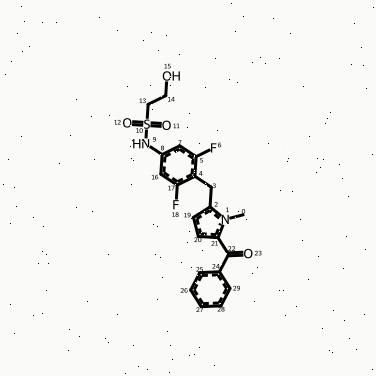 Cn1c(Cc2c(F)cc(NS(=O)(=O)CCO)cc2F)ccc1C(=O)c1ccccc1